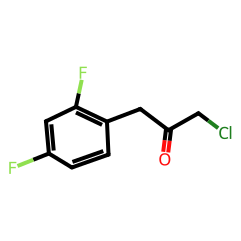 O=C(CCl)Cc1ccc(F)cc1F